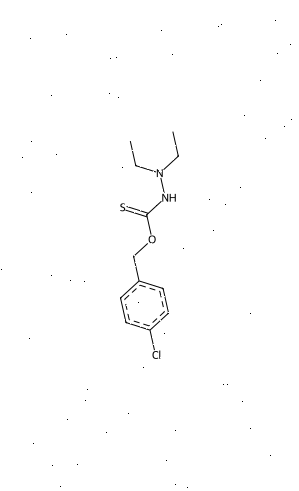 CCN(CC)NC(=S)OCc1ccc(Cl)cc1